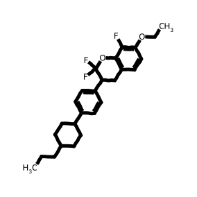 CCCC1CCC(c2ccc(C3Cc4ccc(OCC)c(F)c4OC3(F)F)cc2)CC1